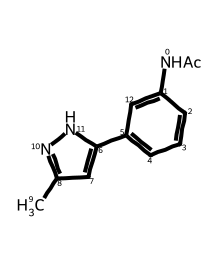 CC(=O)Nc1cccc(-c2cc(C)n[nH]2)c1